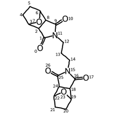 O=C1C2C3CCC(O3)C2C(=O)N1CCCN1C(=O)C2C3CCC(O3)C2C1=O